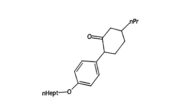 CCCCCCCOc1ccc(C2CCC(CCC)CC2=O)cc1